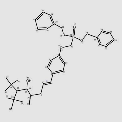 C[C@H](C/C=C/c1ccc(OCP(=O)(OCc2ccccc2)OCc2ccccc2)cc1)[C@@H](O)C(C(C)(C)C)C(C)(C)C